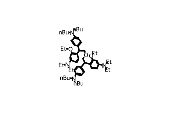 CCCCN(CCCC)c1ccc(C(COCC(c2ccc(N(CCCC)CCCC)cc2)c2ccc(N(CC)CC)cc2OCC)c2ccc(N(CC)CC)cc2OCC)cc1